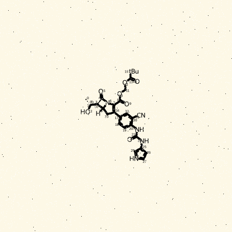 C[C@@H](O)[C@H]1C(=O)N2C(C(=O)OCOC(=O)C(C)(C)C)=C(c3ccc(NC(=O)Nc4cc[nH]c4)c(C#N)c3)C[C@H]12